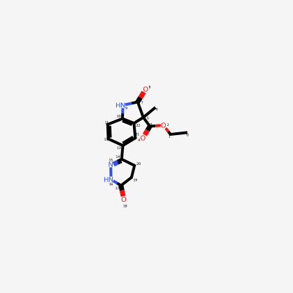 CCOC(=O)C1(C)C(=O)Nc2ccc(C3=NNC(=O)CC3)cc21